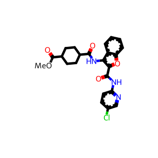 COC(=O)C1CCC(C(=O)Nc2c(C(=O)Nc3ccc(Cl)cn3)oc3ccccc23)CC1